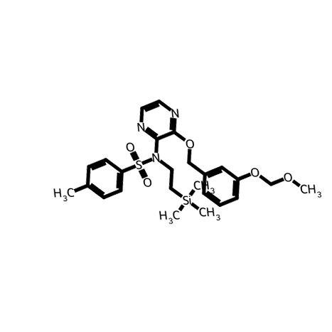 COCOc1cccc(COc2nccnc2N(CC[Si](C)(C)C)S(=O)(=O)c2ccc(C)cc2)c1